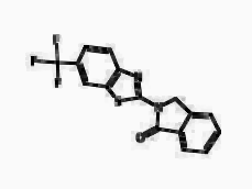 O=C1c2ccccc2CN1c1nc2ccc(C(F)(F)F)cc2s1